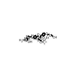 C#CCOCCOc1ccc(C[C@@H](C(=O)OCC)N(C(=O)c2ccc(NCc3cnc4nc(N)nc(O)c4n3)cc2)C(O)C(F)(F)C(=C)C)cc1